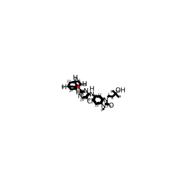 Cn1c(=O)n(CCC(C)(C)O)c2cc(Nc3nc(N4[C@H]5C[C@@H]6C[C@@H](C[C@H]4C6)C5)ncc3Cl)ccc21